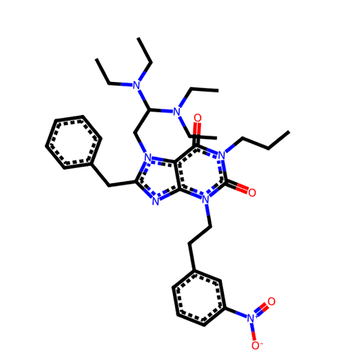 CCCn1c(=O)c2c(nc(Cc3ccccc3)n2CC(N(CC)CC)N(CC)CC)n(CCc2cccc([N+](=O)[O-])c2)c1=O